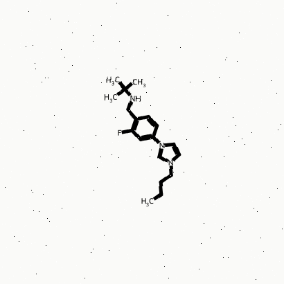 CCCCN1C=CN(c2ccc(CNC(C)(C)C)c(F)c2)C1